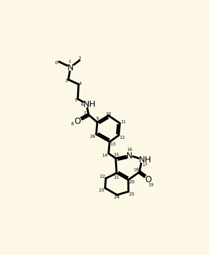 CN(C)CCCNC(=O)c1cccc(Cc2n[nH]c(=O)c3c2CCCC3)c1